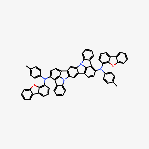 Cc1ccc(N(c2cccc3c2oc2ccccc23)c2ccc3c4cc5c(cc4n4c6ccccc6c2c34)c2ccc(N(c3ccc(C)cc3)c3cccc4c3oc3ccccc34)c3c4ccccc4n5c23)cc1